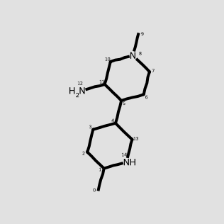 CC1CCC(C2CCN(C)CC2N)CN1